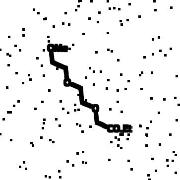 CCOC(=O)COCCOCCOC